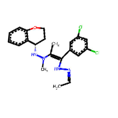 C/C=N\N/C(=C(/C)N(C)N[C@H]1CCOc2ccccc21)c1cc(Cl)cc(Cl)c1